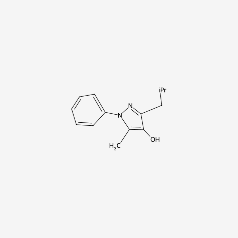 Cc1c(O)c(CC(C)C)nn1-c1ccccc1